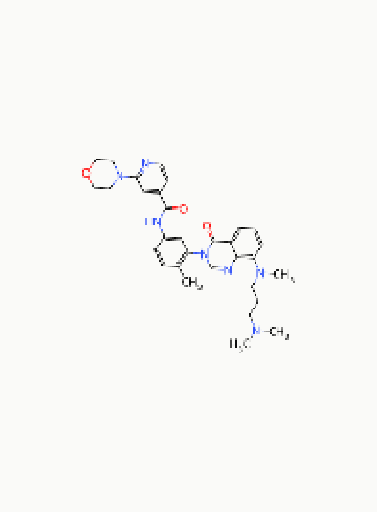 Cc1ccc(NC(=O)c2ccnc(N3CCOCC3)c2)cc1-n1cnc2c(N(C)CCCN(C)C)cccc2c1=O